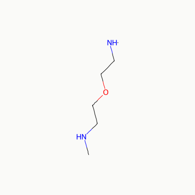 CNCCOCC[NH]